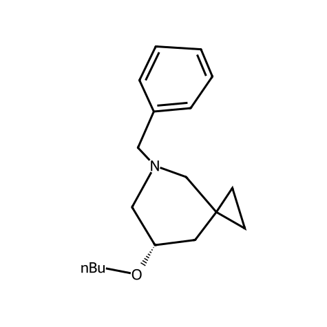 CCCCO[C@@H]1CN(Cc2ccccc2)CC2(CC2)C1